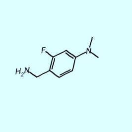 CN(C)c1ccc(CN)c(F)c1